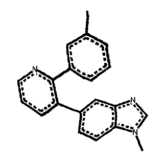 Cc1cccc(-c2ncccc2-c2ccc3c(c2)ncn3C)c1